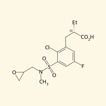 CC[C@@H](Cc1cc(F)cc(S(=O)(=O)N(C)CC2CO2)c1Cl)C(=O)O